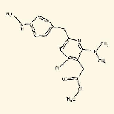 CNc1ccc(Cc2nc(Cl)c(CC(=O)OC)c(N(C)C)n2)cc1